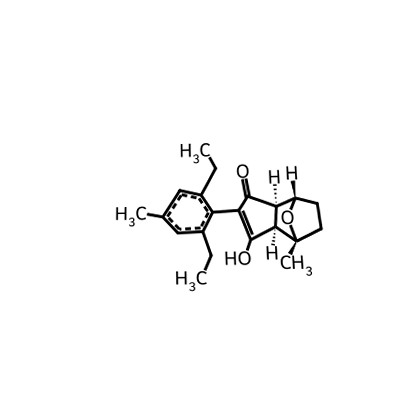 CCc1cc(C)cc(CC)c1C1=C(O)[C@H]2[C@@H](C1=O)[C@@H]1CC[C@@]2(C)O1